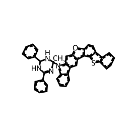 CC1(n2c3ccccc3c3cc4c(cc32)oc2ccc3c5ccccc5sc3c24)N=C(c2ccccc2)NC(c2ccccc2)N1